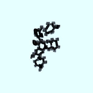 CN1CCN(c2cc3c(cc2F)c(=O)c(-c2noc(Cc4ccc(F)cc4)n2)cn3Cc2ccccc2F)CC1